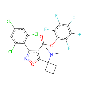 CN(C)C1(c2onc(-c3c(Cl)cc(Cl)cc3Cl)c2C(=O)Oc2c(F)c(F)c(F)c(F)c2F)CCC1